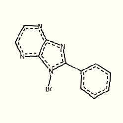 Brn1c(-c2ccccc2)nc2nccnc21